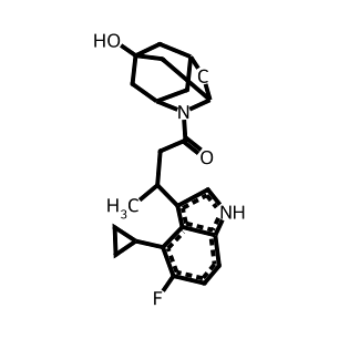 CC(CC(=O)N1C2CC3CC1CC(O)(C3)C2)c1c[nH]c2ccc(F)c(C3CC3)c12